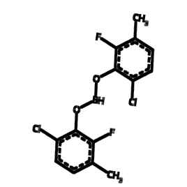 Cc1ccc(Cl)c(OBOc2c(Cl)ccc(C)c2F)c1F